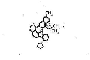 Cc1ccc2c(CC(C)(C)C)c3c(cc2c1)c1nccc2ccc4c5c(C6CCCC6)cccc5n3c4c21